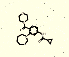 O=C(Nc1ccc(C(=O)N2CCOCC2)c(N2CCCCCC2)c1)C1CC1